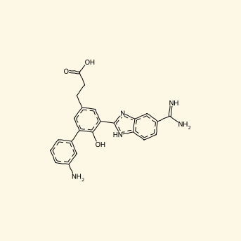 N=C(N)c1ccc2[nH]c(-c3cc(CCC(=O)O)cc(-c4cccc(N)c4)c3O)nc2c1